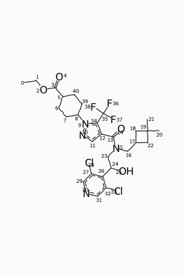 CCOC(=O)C1CCC(n2ncc(C(=O)N(CC3CC(C)(C)C3)CC(O)c3c(Cl)cncc3Cl)c2C(F)(F)F)CC1